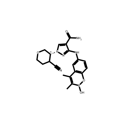 CC1=C(C)c2cc(Nc3nn([C@H]4COCCC4C#N)cc3C(N)=O)ccc2OB1O